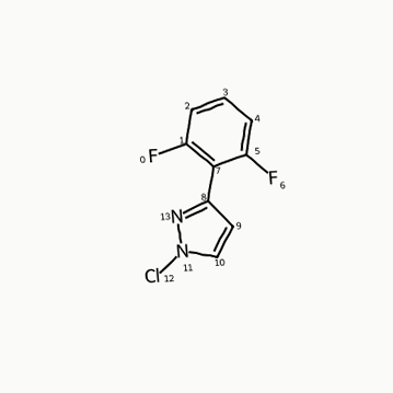 Fc1cccc(F)c1-c1ccn(Cl)n1